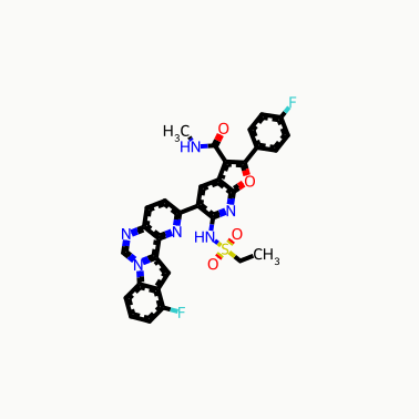 CCS(=O)(=O)Nc1nc2oc(-c3ccc(F)cc3)c(C(=O)NC)c2cc1-c1ccc2ncn3c4cccc(F)c4cc3c2n1